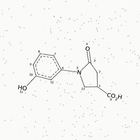 O=C(O)C1CC(=O)N(c2cccc(O)c2)C1